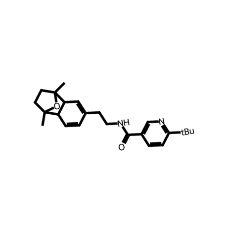 CC(C)(C)c1ccc(C(=O)NCCC2=CC3C(C=C2)C2(C)CCC3(C)O2)cn1